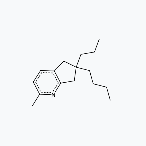 CCCCC1(CCC)Cc2ccc(C)nc2C1